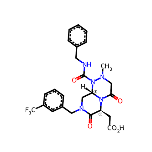 CN1CC(=O)N2[C@@H](CC(=O)O)C(=O)N(Cc3cccc(C(F)(F)F)c3)C[C@@H]2N1C(=O)NCc1ccccc1